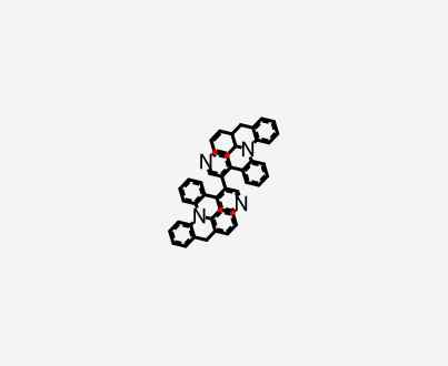 C1=CC2Cc3ccccc3N(c3ccccc3-c3ccncc3-c3cnccc3-c3ccccc3N3c4ccccc4Cc4ccccc43)C2C=C1